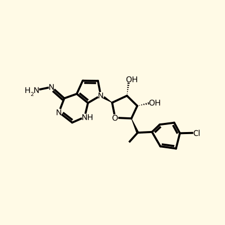 CC(c1ccc(Cl)cc1)[C@H]1O[C@@H](n2ccc3c(=NN)nc[nH]c32)[C@H](O)[C@@H]1O